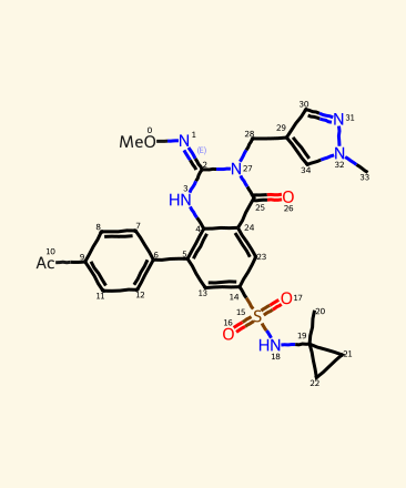 CO/N=c1\[nH]c2c(-c3ccc(C(C)=O)cc3)cc(S(=O)(=O)NC3(C)CC3)cc2c(=O)n1Cc1cnn(C)c1